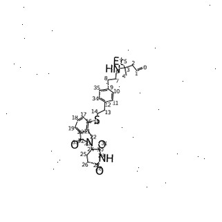 C=CCC(C)(CC)NCCc1ccc(CCSc2cccc3c2CN(C2CCC(=O)NC2=O)C3=O)cc1